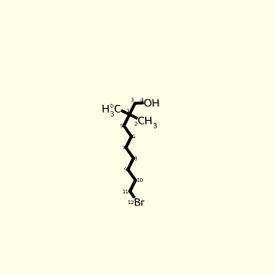 CC(C)(CO)CCCCCCCBr